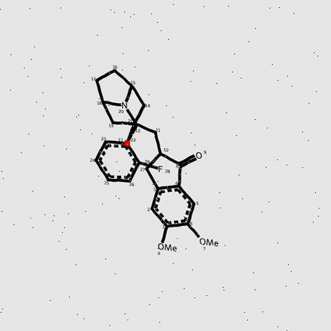 COc1cc2c(cc1OC)C(=O)C(CC1(F)CC3CCC(C1)N3Cc1ccccc1F)C2